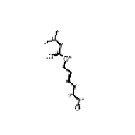 CC(C)CC(=O)OCCCCCC[O]